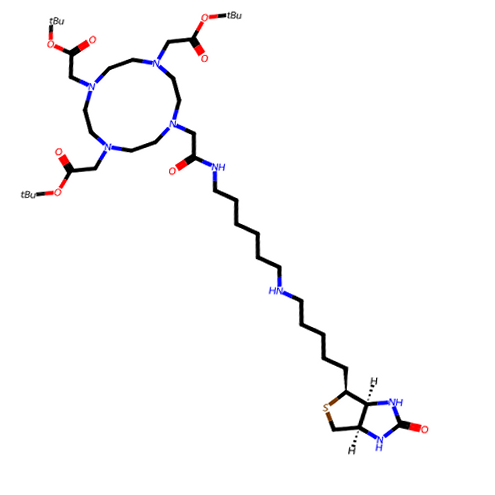 CC(C)(C)OC(=O)CN1CCN(CC(=O)NCCCCCCNCCCCC[C@@H]2SC[C@@H]3NC(=O)N[C@@H]32)CCN(CC(=O)OC(C)(C)C)CCN(CC(=O)OC(C)(C)C)CC1